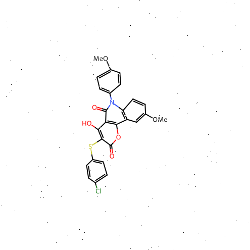 COc1ccc(-n2c(=O)c3c(O)c(Sc4ccc(Cl)cc4)c(=O)oc3c3cc(OC)ccc32)cc1